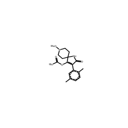 CON1CCC2(CC1)NC(=O)C(c1cc(C)ccc1C)=C2OC(=O)C(C)(C)C